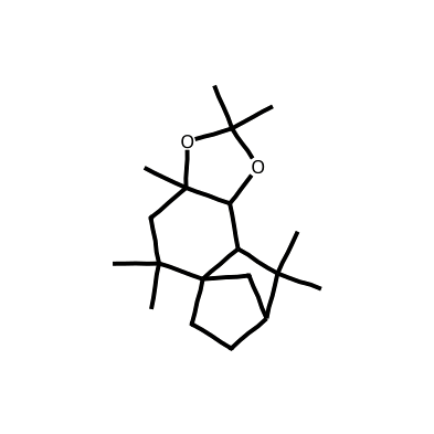 CC1(C)OC2C3C(C)(C)C4CCC3(C4)C(C)(C)CC2(C)O1